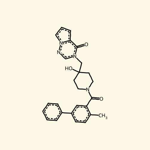 Cc1ccc(-c2ccccc2)cc1C(=O)N1CCC(O)(Cn2cnn3cccc3c2=O)CC1